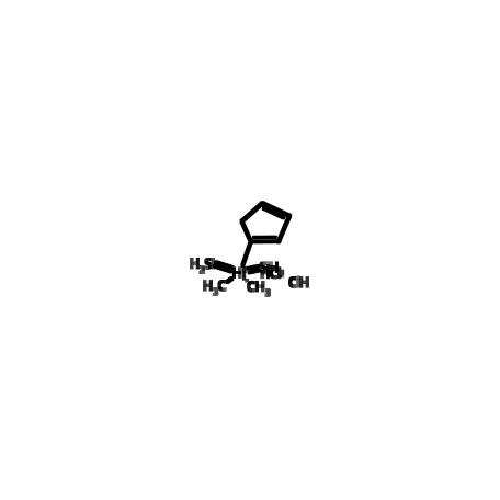 Cl.Cl.[CH3][Hf]([CH3])(=[SiH2])(=[SiH2])[C]1=CC=CC1